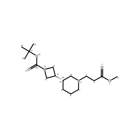 COC(=O)CCN1CCC[C@H](C2CN(C(=O)OC(C)(C)C)C2)C1